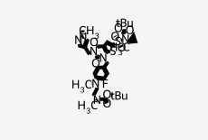 CN(CCN(C)c1ccc(Cn2c(=O)n(Cc3cnn(C)c3)c(=O)c3cc(S(=O)(=O)N(C(=O)OC(C)(C)C)C4(C)CC4)sc32)cc1F)C(=O)OC(C)(C)C